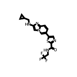 O=C(NCC(F)(F)F)c1ncc(-c2ccc3nc(NCC4CC4)cn3c2)s1